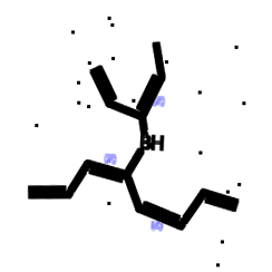 C=C/C=C\C(B/C(C=C)=C/C)=C/C=C